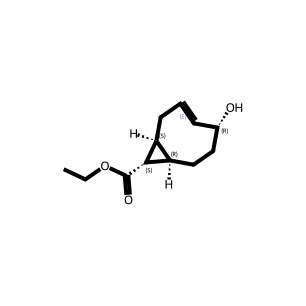 CCOC(=O)[C@H]1[C@@H]2CC[C@@H](O)/C=C/C[C@@H]21